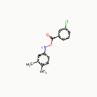 Cc1cc(NOC(=O)c2cccc(Cl)c2)ccc1[N+](=O)[O-]